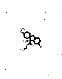 CCOC(=O)[C@]1(N)c2cc(Br)ccc2CC12CCC(OC)CC2